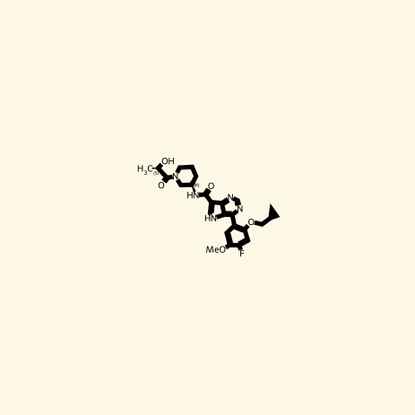 COc1cc(-c2ncnc3c(C(=O)N[C@@H]4CCCN(C(=O)[C@H](C)O)C4)c[nH]c23)c(OCC2CC2)cc1F